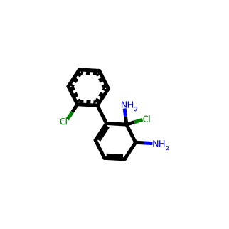 NC1C=CC=C(c2ccccc2Cl)C1(N)Cl